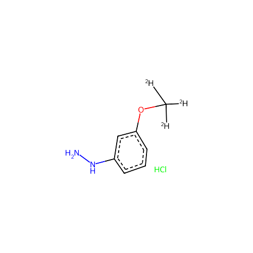 Cl.[2H]C([2H])([2H])Oc1cccc(NN)c1